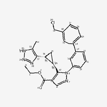 CCOC(=O)c1cnn(-c2cccc(-c3cccc(CCl)c3)c2)c1[C@@H]1C[C@H]1c1nn[nH]c1C